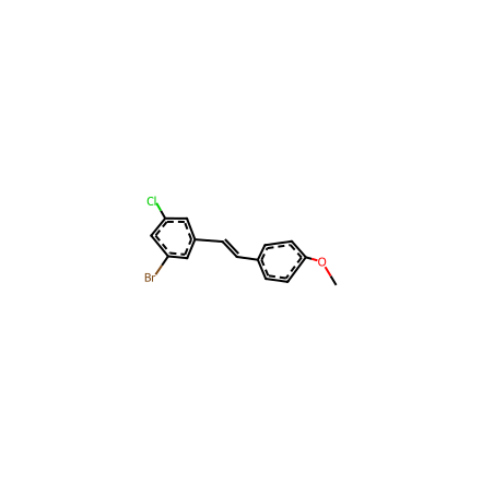 COc1ccc(C=Cc2cc(Cl)cc(Br)c2)cc1